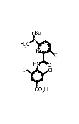 CCCCN(C)c1ccc(Cl)c(C(=O)Nc2c(Cl)cc(C(=O)O)cc2Cl)n1